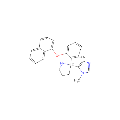 Cn1cncc1[C@]1(c2c(C#N)cccc2Oc2cccc3ccccc23)CCCN1